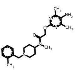 Cc1ccccc1CN1CCC(N(C)C(=O)COc2nc(C)c(N)c(C)n2)CC1